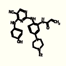 C=CC(=O)Nc1cc(N2CCN(CC)CC2)ccc1Nc1ncc(C#N)c(Nc2ccc(O)cc2)n1